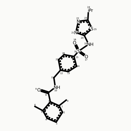 Cc1cccc(C)c1C(=O)NCc1ccc(S(=O)(=O)Nc2nnc(C(C)C)s2)cc1